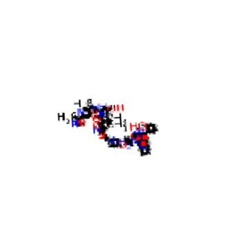 Cc1ncoc1-c1ccc([C@H](C)NC(=O)[C@@H]2C[C@@H](O)CN2C(=O)[C@H](c2cc(OCCN3CCC(O[C@H]4C[C@H](Oc5cc(N6C7CCC6CN(c6cc(-c8ccccc8O)nnc6N)C7)ccn5)C4)CC3)no2)C(C)C)cn1